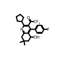 CC1(C)Cc2nc(C3CCCC3)c(C(=O)C(F)(F)F)c(-c3ccc(F)cc3)c2C(O)C1